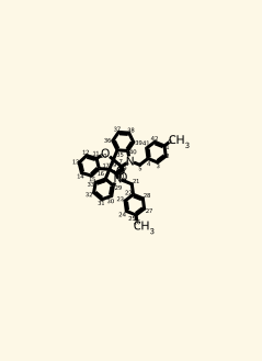 Cc1ccc(CN2C(=O)C3(Oc4ccccc4C34C(=O)N(Cc3ccc(C)cc3)c3ccccc34)c3ccccc32)cc1